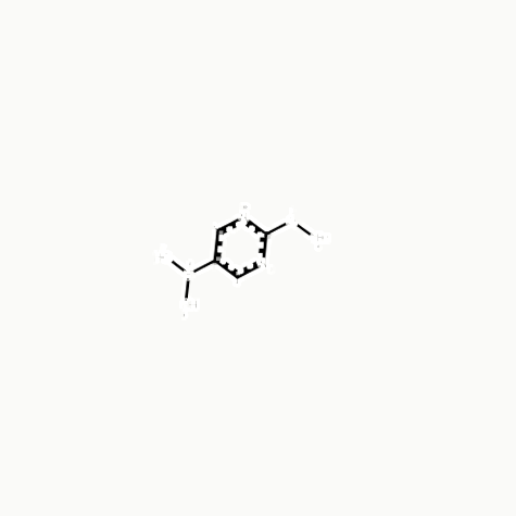 CC(C)(C)Oc1ncc(B(O)O)cn1